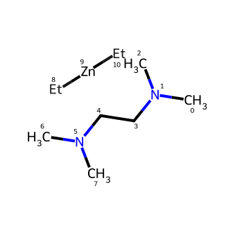 CN(C)CCN(C)C.C[CH2][Zn][CH2]C